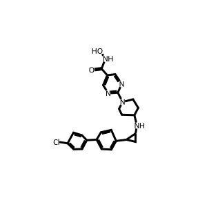 O=C(NO)c1cnc(N2CCC(NC3CC3c3ccc(-c4ccc(Cl)cc4)cc3)CC2)nc1